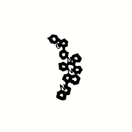 c1cc(-c2cccc3c2oc2ccccc23)cc(-n2c3c(c4ccccc42)-c2ccccc2N(c2ccc(-c4ccc5ccccc5n4)c4ccccc24)c2ccccc2-3)c1